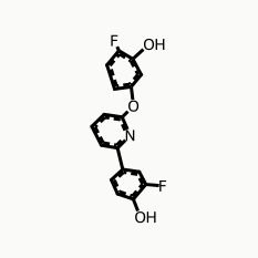 Oc1cc(Oc2cccc(-c3ccc(O)c(F)c3)n2)ccc1F